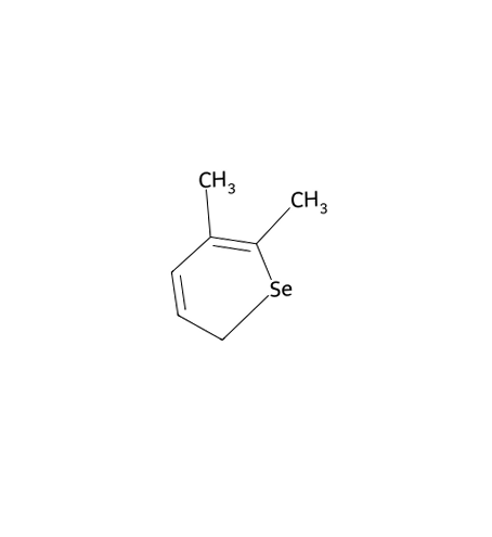 CC1=C(C)[Se]CC=C1